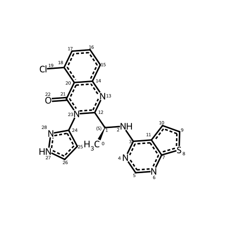 C[C@H](Nc1ncnc2sccc12)c1nc2cccc(Cl)c2c(=O)n1-c1cc[nH]n1